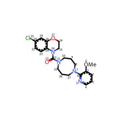 COc1cccnc1N1CCCN(C(=O)N2CCOc3cc(Cl)ccc32)CCC1